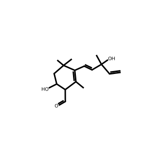 C=CC(C)(O)C=CC1=C(C)C(C=O)C(O)CC1(C)C